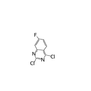 Fc1ccc2c(Cl)nc(Cl)nc2c1